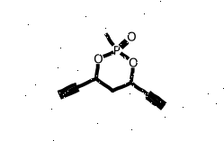 C#CC1CC(C#C)OP(C)(=O)O1